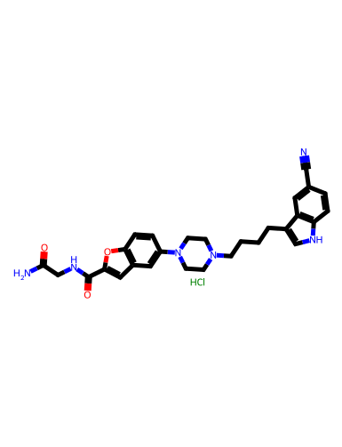 Cl.N#Cc1ccc2[nH]cc(CCCCN3CCN(c4ccc5oc(C(=O)NCC(N)=O)cc5c4)CC3)c2c1